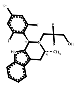 CC(C)c1cc(F)c([C@@H]2c3[nH]c4ccccc4c3C[C@@H](C)N2CC(F)(F)CO)c(F)c1